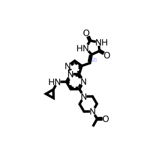 CC(=O)N1CCN(c2cc(NC3CC3)n3ncc(/C=C4\NC(=O)NC4=O)c3n2)CC1